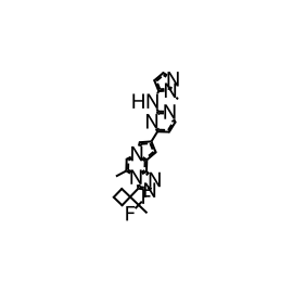 Cc1cn2cc(-c3ccnc(Nc4ccnn4C)n3)cc2c2nnc(C3(C(C)(F)F)CCC3)n12